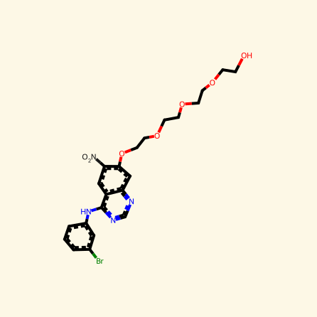 O=[N+]([O-])c1cc2c(Nc3cccc(Br)c3)ncnc2cc1OCCOCCOCCOCCO